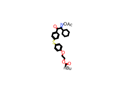 CCCCC(=O)OCCOc1ccc(Sc2ccc(C(=O)/C(=N/OC(C)=O)C3CCCCC3)cc2)cc1